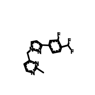 Cc1nccc(Cn2ccc(-c3ccc(C(F)F)c(F)c3)n2)n1